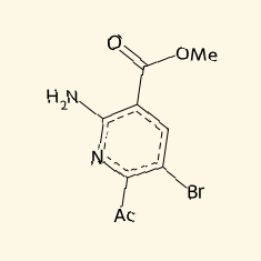 COC(=O)c1cc(Br)c(C(C)=O)nc1N